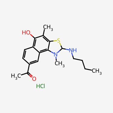 CCCCNC1Sc2c(C)c(O)c3ccc(C(C)=O)cc3c2N1C.Cl